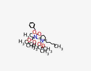 CCCCC[C@@H]1CCC[C@@H](CN(C(=O)OCc2ccccc2)[C@@H](C)C(=O)OC(C)(C)C)N1C(=O)OC(C)(C)C